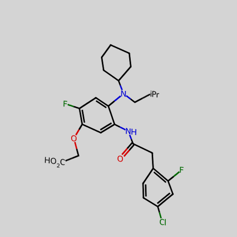 CC(C)CN(c1cc(F)c(OCC(=O)O)cc1NC(=O)Cc1ccc(Cl)cc1F)C1CCCCC1